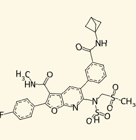 CNC(=O)c1c(-c2ccc(F)cc2)oc2nc(N(CS(C)(=O)=O)[SH](=O)=O)c(-c3cccc(C(=O)NC45CC(C4)C5)c3)cc12